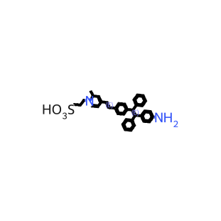 CC1C=C(/C=C/c2ccc(/C(=C(\c3ccccc3)c3ccc(N)cc3)c3ccccc3)cc2)C=CN1CCCS(=O)(=O)O